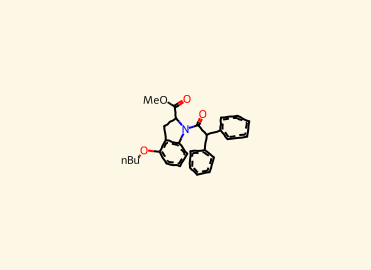 CCCCOc1cccc2c1CC(C(=O)OC)N2C(=O)C(c1ccccc1)c1ccccc1